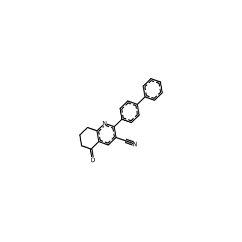 N#Cc1cc2c(nc1-c1ccc(-c3ccccc3)cc1)CCCC2=O